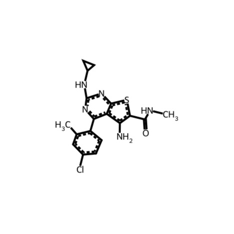 CNC(=O)c1sc2nc(NC3CC3)nc(-c3ccc(Cl)cc3C)c2c1N